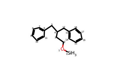 [SiH3]OCCC(Cc1ccccc1)Cc1ccccc1